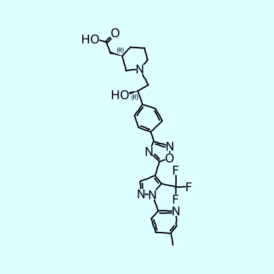 Cc1ccc(-n2ncc(-c3nc(-c4ccc([C@@H](O)CN5CCC[C@H](CC(=O)O)C5)cc4)no3)c2C(F)(F)F)nc1